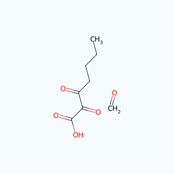 C=O.CCCCC(=O)C(=O)C(=O)O